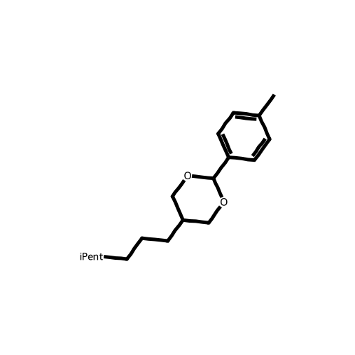 CCCC(C)CCCC1COC(c2ccc(C)cc2)OC1